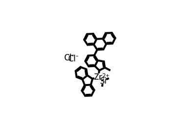 CC1=Cc2c(-c3cc4ccccc4c4ccccc34)cccc2[CH]1[Zr+2]([CH]1c2ccccc2-c2ccccc21)=[Si](C)C.[Cl-].[Cl-]